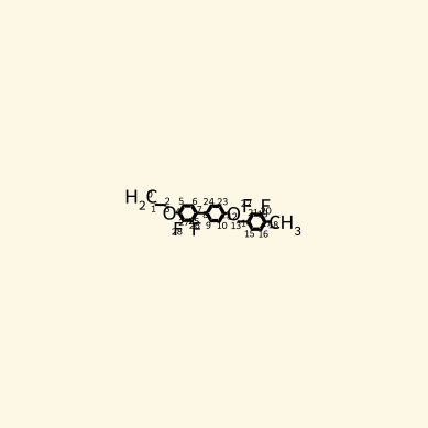 C=CCOc1ccc(-c2ccc(OCc3ccc(C)c(F)c3F)cc2)c(F)c1F